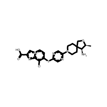 C[C@@H]1OCC2(CCN(c3cnc(Sc4ccn5cc(C(=O)O)nc5c4Cl)cn3)CC2)[C@@H]1N